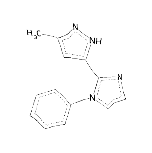 Cc1cc(-c2nccn2-c2ccccc2)[nH]n1